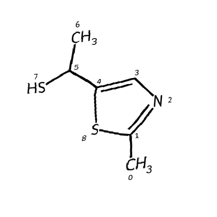 Cc1ncc(C(C)S)s1